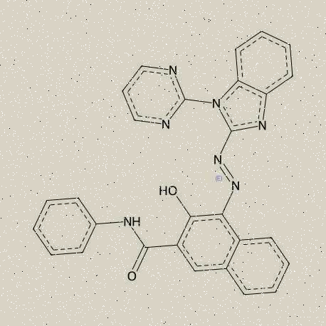 O=C(Nc1ccccc1)c1cc2ccccc2c(/N=N/c2nc3ccccc3n2-c2ncccn2)c1O